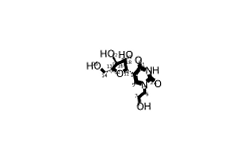 O=c1[nH]c(=O)n(CCO)cc1[C@@H]1O[C@H](CO)[C@@H](O)[C@H]1O